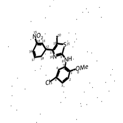 COc1ccc(Cl)cc1Nc1nc(C2C=C([N+](=O)[O-])C=CC2)c(C)s1